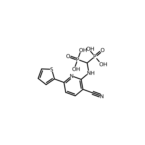 N#Cc1ccc(-c2cccs2)nc1NC(P(=O)(O)O)P(=O)(O)O